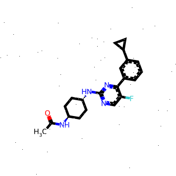 CC(=O)N[C@H]1CC[C@H](Nc2ncc(F)c(-c3cccc(C4CC4)c3)n2)CC1